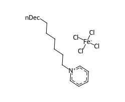 CCCCCCCCCCCCCCCC[n+]1ccccc1.[Cl][Fe-]([Cl])([Cl])[Cl]